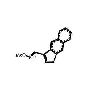 CO/N=C/C1=CCc2cc3ccccc3cc21